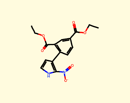 CCOC(=O)c1ccc(-c2cc[nH]c2[N+](=O)[O-])c(C(=O)OCC)c1